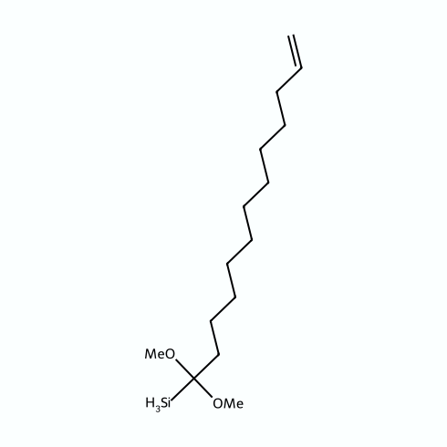 C=CCCCCCCCCCCC([SiH3])(OC)OC